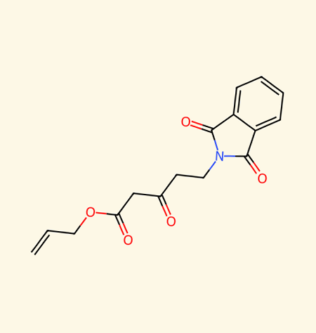 C=CCOC(=O)CC(=O)CCN1C(=O)c2ccccc2C1=O